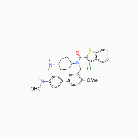 COc1ccc(-c2ccc(N(C)C=O)cc2)cc1CN(C(=O)c1sc2ccccc2c1Cl)[C@H]1CC[C@H](N(C)C)CC1